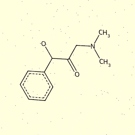 CN(C)CC(=O)C([O])c1ccccc1